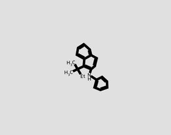 CCC(C)(C)c1c(Nc2ccccc2)ccc2ccccc12